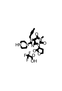 CC#CCn1c(N2CCNCC2)nc2c1c(=O)n(C)c(=O)n2C1CCOC1=O.O=C(O)C(F)(F)F